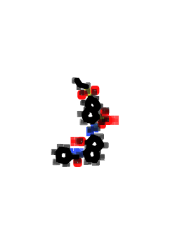 CCCS(=O)(=O)c1ccc2c(S(=O)(=O)O)c(/N=N/c3ccc4cccc(NC(=O)c5ccccc5)c4c3O)ccc2c1